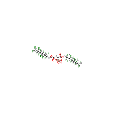 O=C(CC(C(=O)OCC(F)(F)C(F)(F)C(F)(F)C(F)(F)C(F)(F)C(F)F)S(=O)(=O)O)OCC(F)(F)C(F)(F)C(F)(F)C(F)(F)C(F)(F)C(F)F